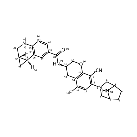 N#Cc1c(N2CC3CCC(C2)N3)cc(F)c2c1OC[C@H](NC(=O)c1cnc3c(c1)[C@@H]1C[C@@H]1CN3)C2